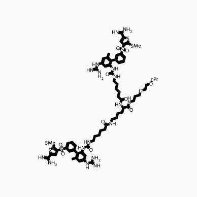 CCCOCCOCCCNC(=O)C(CCCCNC(=O)CCCCCNC(=O)Nc1cc(NC(=N)N)cc(C)c1-c1cccc(S(=O)(=O)c2cc(C(=N)N)sc2SC)c1)NC(=O)CCCCCNC(=O)Nc1cc(NC(=N)N)cc(C)c1-c1cccc(S(=O)(=O)c2cc(C(=N)N)sc2SC)c1